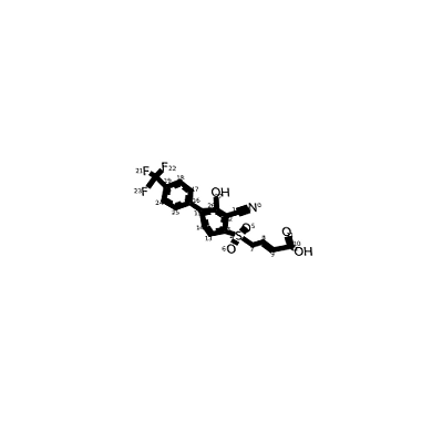 N#Cc1c(S(=O)(=O)CC=CC(=O)O)ccc(-c2ccc(C(F)(F)F)cc2)c1O